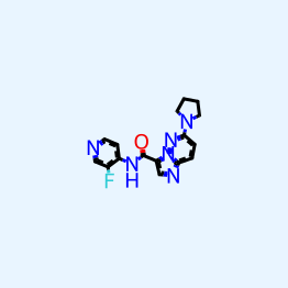 O=C(Nc1ccncc1F)c1cnc2ccc(N3CCCC3)nn12